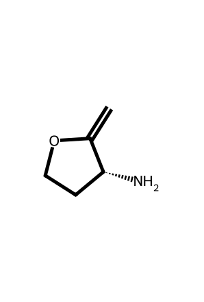 C=C1OCC[C@H]1N